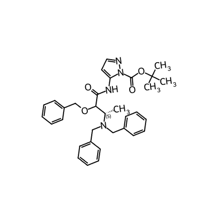 C[C@@H](C(OCc1ccccc1)C(=O)Nc1ccnn1C(=O)OC(C)(C)C)N(Cc1ccccc1)Cc1ccccc1